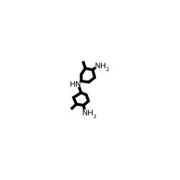 CC1CC(NC2CCC(N)C(C)C2)CCC1N